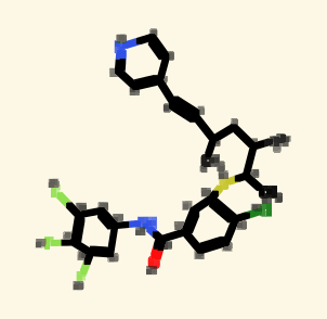 CCCC(CC(C)C#Cc1ccncc1)C(C)Sc1cc(C(=O)Nc2cc(F)c(F)c(F)c2)ccc1Cl